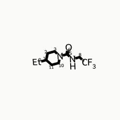 CCC1CCN(C(=O)NCC(F)(F)F)CC1